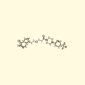 O=C(CCOCCn1ncc2c(=O)[nH]ncc21)N1CCN(c2ccc(C(F)(F)F)cn2)CC1